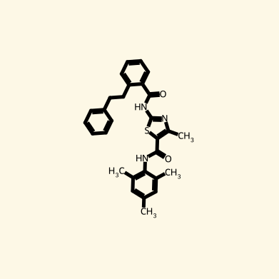 Cc1cc(C)c(NC(=O)c2sc(NC(=O)c3ccccc3CCc3ccccc3)nc2C)c(C)c1